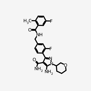 Cc1ccc(F)cc1C(=O)NCc1ccc(-c2nn(C3CCCOC3)c(N)c2C(N)=O)c(F)c1